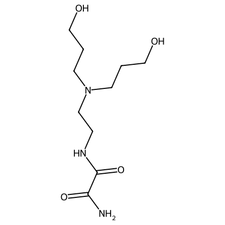 NC(=O)C(=O)NCCN(CCCO)CCCO